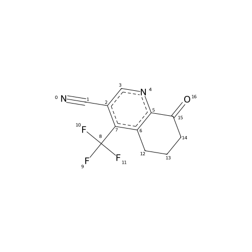 N#Cc1cnc2c(c1C(F)(F)F)CCCC2=O